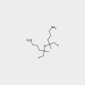 C[Si](CI)(CCCN)O[Si](C)(CI)CCCN